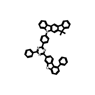 CC1(C)c2ccccc2-c2cc3c4ccccc4n(-c4ccc(-c5nc(-c6ccccc6)nc(-c6ccc7c(c6)oc6cccc(-c8ccccc8)c67)n5)cc4)c3cc21